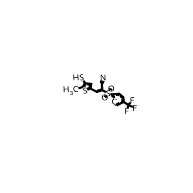 Cc1sc(C=C(C#N)S(=O)(=O)c2ccc(C(F)(F)F)cc2)cc1S